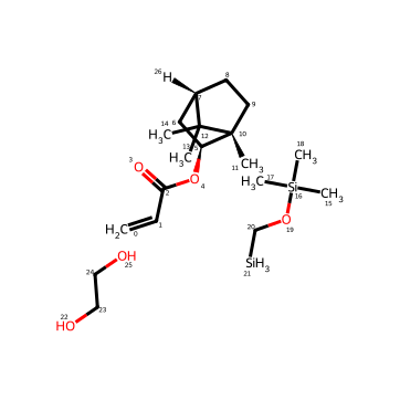 C=CC(=O)O[C@H]1C[C@@H]2CC[C@@]1(C)C2(C)C.C[Si](C)(C)OC[SiH3].OCCO